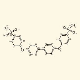 CS(=O)(=O)c1ccc(Oc2ccc(-c3ccc(Oc4ccc(S(C)(=O)=O)cc4)cc3)cc2)cc1